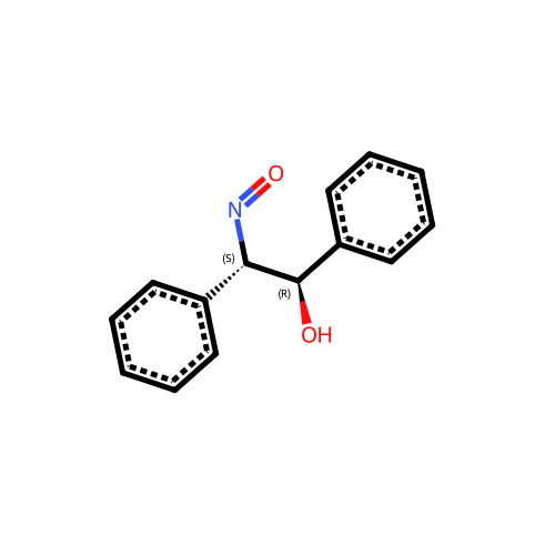 O=N[C@@H](c1ccccc1)[C@H](O)c1ccccc1